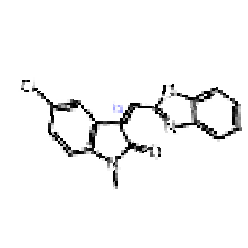 CN1C(=O)/C(=C\c2nc3ccccc3o2)c2cc(Cl)ccc21